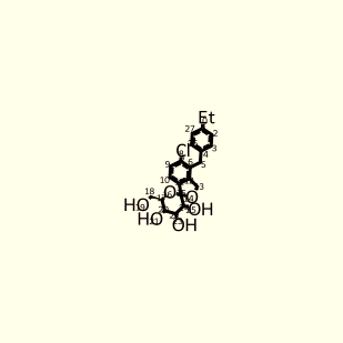 CCc1ccc(Cc2c(Cl)ccc3c2COC32O[C@H](CO)C(O)C(O)C2O)cc1